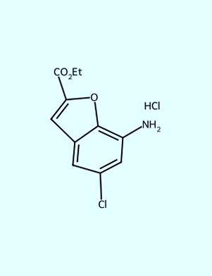 CCOC(=O)c1cc2cc(Cl)cc(N)c2o1.Cl